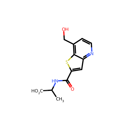 CC(NC(=O)c1cc2nccc(CO)c2s1)C(=O)O